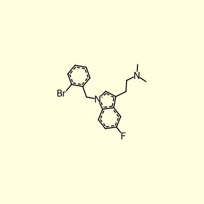 CN(C)CCc1cn(Cc2ccccc2Br)c2ccc(F)cc12